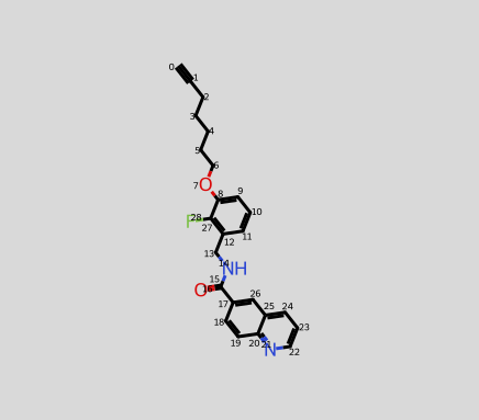 C#CCCCCCOc1cccc(CNC(=O)c2ccc3ncccc3c2)c1F